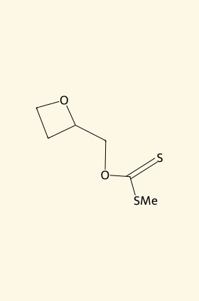 CSC(=S)OCC1CCO1